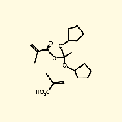 C=C(C)C(=O)O.C=C(C)C(=O)OC(C)(OC1CCCC1)OC1CCCC1